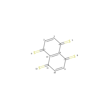 S=c1ccc(=S)c2c(=S)ccc(=S)c1=2